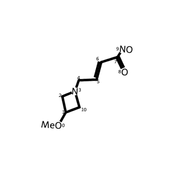 COC1CN(C/C=C/C(=O)N=O)C1